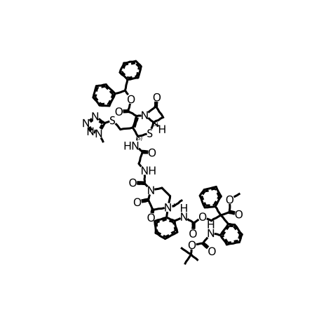 CC[N+]1(c2ccccc2NC(=O)OCC(C(=O)OC)(c2ccccc2)c2ccccc2NC(=O)OC(C)(C)C)CCN(C(=O)NCC(=O)N[C@H]2S[C@H]3CC(=O)N3C(C(=O)OC(c3ccccc3)c3ccccc3)=C2CSc2nnnn2C)C(=O)C1=O